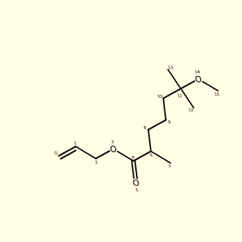 C=CCOC(=O)C(C)CCCC(C)(C)OC